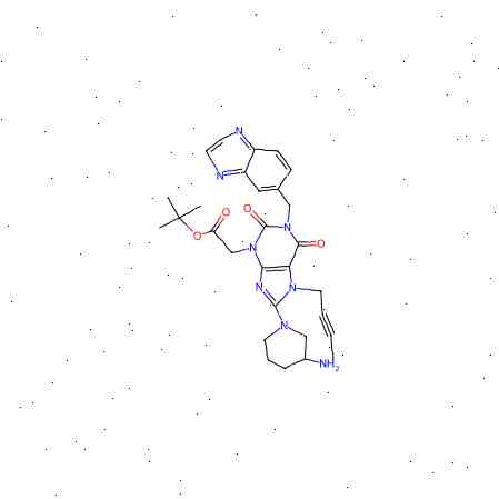 CC#CCn1c(N2CCCC(N)C2)nc2c1c(=O)n(Cc1ccc3nccnc3c1)c(=O)n2CC(=O)OC(C)(C)C